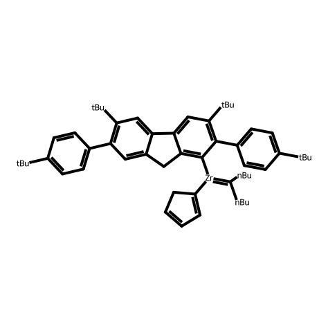 CCCC[C](CCCC)=[Zr]([C]1=CC=CC1)[c]1c2c(cc(C(C)(C)C)c1-c1ccc(C(C)(C)C)cc1)-c1cc(C(C)(C)C)c(-c3ccc(C(C)(C)C)cc3)cc1C2